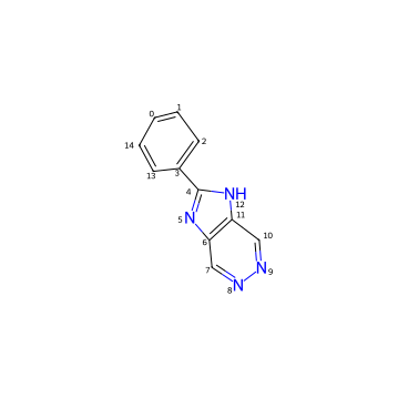 c1ccc(-c2nc3cnncc3[nH]2)cc1